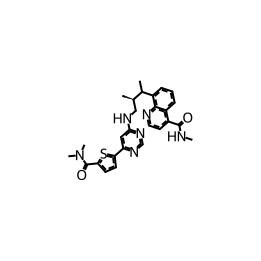 CNC(=O)c1ccnc2c(C(C)[C@H](C)CNc3cc(-c4ccc(C(=O)N(C)C)s4)ncn3)cccc12